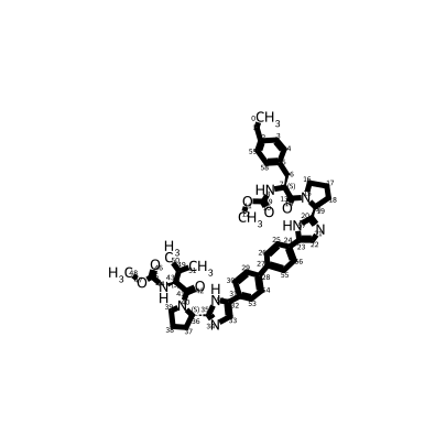 CCc1ccc(C[C@H](NC(=O)OC)C(=O)N2CCC[C@H]2c2ncc(-c3ccc(-c4ccc(-c5cnc([C@@H]6CCCN6C(=O)[C@@H](NC(=O)OC)C(C)C)[nH]5)cc4)cc3)[nH]2)cc1